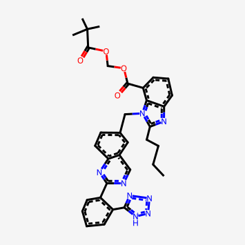 CCCCc1nc2cccc(C(=O)OCOC(=O)C(C)(C)C)c2n1Cc1ccc2nc(-c3ccccc3-c3nnn[nH]3)ncc2c1